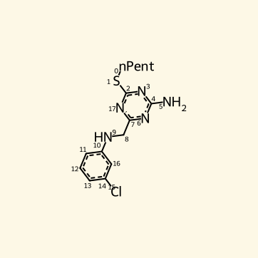 CCCCCSc1nc(N)nc(CNc2cccc(Cl)c2)n1